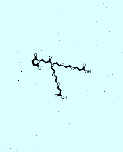 O=C(O)CCOCCOCCN(CCOCCOCCC(=O)O)C(=O)CCN1C(=O)C=CC1=O